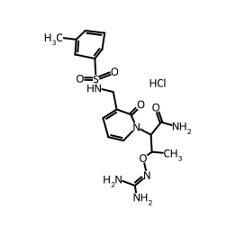 Cc1cccc(S(=O)(=O)NCc2cccn(C(C(N)=O)C(C)ON=C(N)N)c2=O)c1.Cl